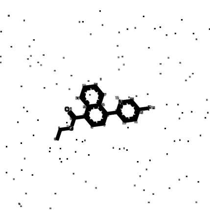 CCOC(=O)c1ccc(-c2ccc(F)cn2)c2ccccc12